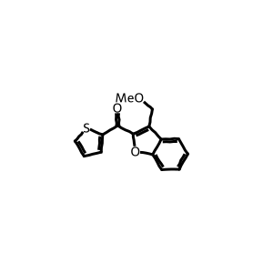 COCc1c(C(=O)c2cccs2)oc2ccccc12